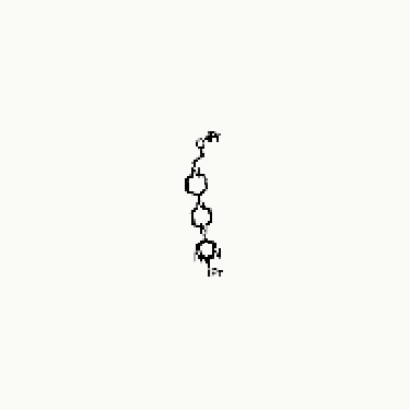 CC(C)OCCN1CCC(N2CCN(c3cnc(C(C)C)nc3)CC2)CC1